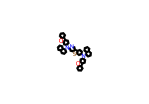 c1ccc2c(N(c3ccc4c(c3)oc3ccccc34)c3ccc4c(c3)sc3cc(N(c5ccc6c(c5)oc5ccccc56)c5cccc6ccccc56)ncc34)cccc2c1